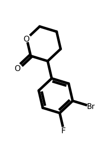 O=C1OCCCC1c1ccc(F)c(Br)c1